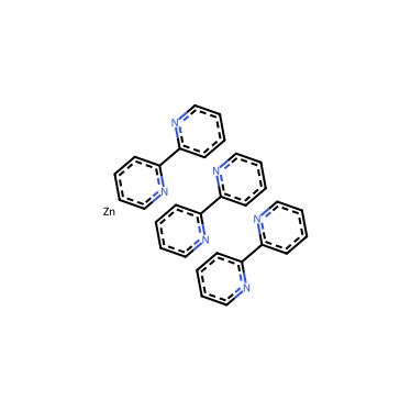 [Zn].c1ccc(-c2ccccn2)nc1.c1ccc(-c2ccccn2)nc1.c1ccc(-c2ccccn2)nc1